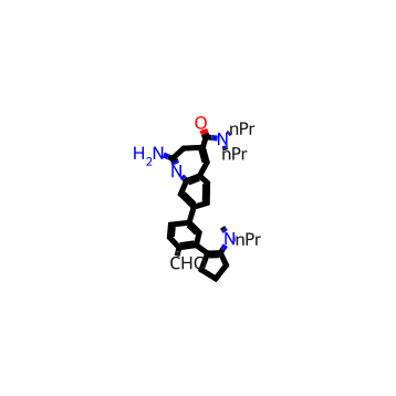 CCCN(C)C1=C(c2cc(-c3ccc4c(c3)N=C(N)CC(C(=O)N(CCC)CCC)=C4)ccc2C=O)CCC1